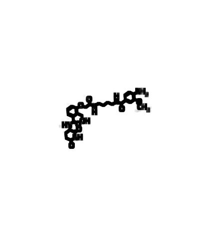 COc1cc(C(=O)NCCCCNC(=O)COc2cccc(C(=O)NC3CCC(=O)NC3=O)c2CO)ccc1N